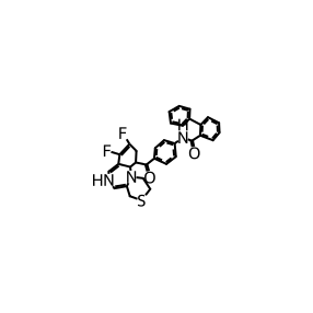 O=C(Nc1ccc(C(=O)C2CC(F)=C(F)C3=CNC=C4CSCCN4C32)cc1)c1ccccc1-c1ccccc1